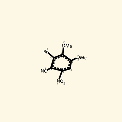 COc1cc([N+](=O)[O-])c(C#N)c(Br)c1OC